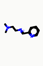 CN(C)CC/N=C/c1ccccn1